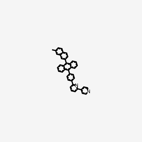 Cc1ccc2ccc(-c3c4ccccc4c(-c4ccc(-c5cccc(-c6ccncc6)n5)cc4)c4ccccc34)cc2c1